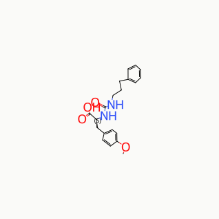 COc1ccc(C[C@H](NC(=O)NCCCc2ccccc2)C(=O)O)cc1